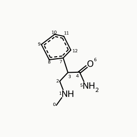 CNCC(C(N)=O)c1ccccc1